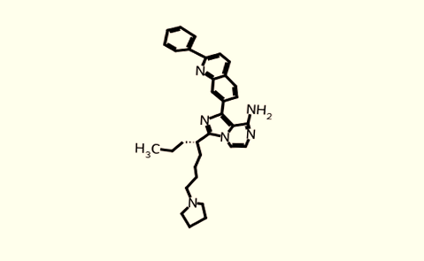 CCC[C@@H](CCCCN1CCCC1)c1nc(-c2ccc3ccc(-c4ccccc4)nc3c2)c2c(N)nccn12